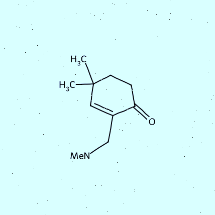 CNCC1=CC(C)(C)CCC1=O